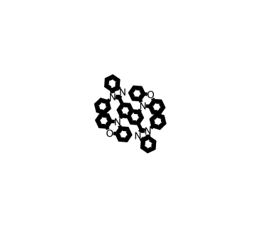 c1ccc(-n2c(-c3cc(N4c5ccccc5Oc5ccccc54)c4cc(-c5nc6ccccc6n5-c5ccccc5)cc(N5c6ccccc6Oc6ccccc65)c4c3)nc3ccccc32)cc1